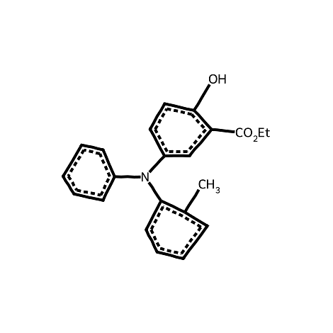 CCOC(=O)c1cc(N(c2ccccc2)c2ccccc2C)ccc1O